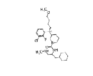 CNCC(CC1CCCCC1)NC(=O)N1CCCC([C@H](CCCCOC)c2cccc(Cl)c2F)C1